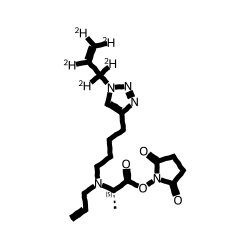 [2H]C([2H])=C([2H])C([2H])([2H])n1cc(CCCCN(CC=C)[C@@H](C)C(=O)ON2C(=O)CCC2=O)nn1